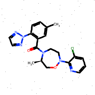 Cc1ccc(-n2nccn2)c(C(=O)N2CCN(c3ncccc3Cl)OC[C@H]2C)c1